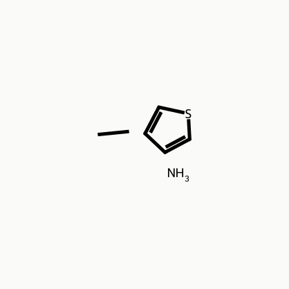 CC.N.c1ccsc1